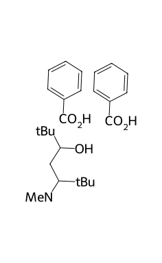 CNC(CC(O)C(C)(C)C)C(C)(C)C.O=C(O)c1ccccc1.O=C(O)c1ccccc1